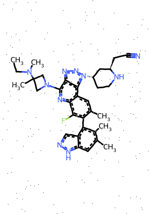 CCN(C)C1(C)CN(c2nc3c(F)c(-c4c(C)c(C)cc5[nH]ncc45)c(C)cc3c3c2nnn3[C@H]2CCN[C@H](CC#N)C2)C1